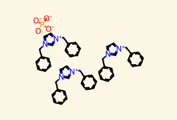 O=P([O-])([O-])[O-].c1ccc(Cn2cc[n+](Cc3ccccc3)c2)cc1.c1ccc(Cn2cc[n+](Cc3ccccc3)c2)cc1.c1ccc(Cn2cc[n+](Cc3ccccc3)c2)cc1